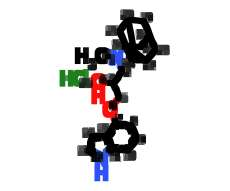 CN(CC(O)COc1cccc2[nH]ccc12)C12CC3CC(CC(C3)C1)C2.Cl